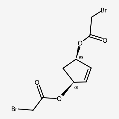 O=C(CBr)O[C@@H]1C=C[C@H](OC(=O)CBr)C1